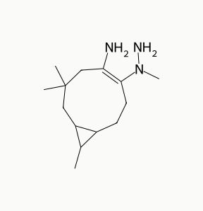 CC1C2CC/C(N(C)N)=C(/N)CC(C)(C)CC12